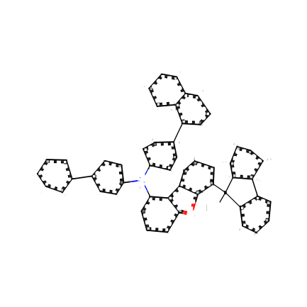 CC1(c2cccc3c2oc2cccc(N(c4ccc(-c5ccccc5)cc4)c4ccc(-c5cccc6ccccc56)cc4)c23)c2ccccc2-c2ccccc21